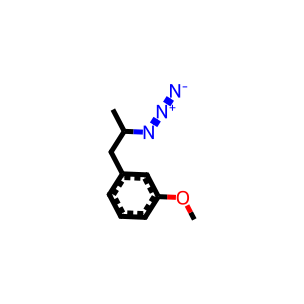 COc1cccc(CC(C)N=[N+]=[N-])c1